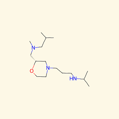 CC(C)CN(C)C[C@@H]1CN(CCCNC(C)C)CCO1